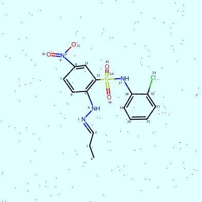 CC/C=N/Nc1ccc([N+](=O)[O-])cc1S(=O)(=O)Nc1ccccc1Cl